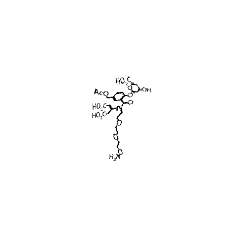 CC(=O)OCc1ccc(O[C@H]2C[C@@H](O)C[C@@H](C(=O)O)O2)c(C(=O)N(CCOCCOCCON)C(CC(=O)O)CC(=O)O)c1